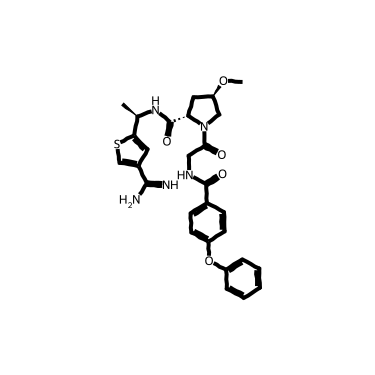 CO[C@@H]1C[C@@H](C(=O)N[C@H](C)c2cc(C(=N)N)cs2)N(C(=O)CNC(=O)c2ccc(Oc3ccccc3)cc2)C1